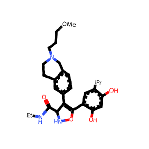 CCNC(=O)C1NOC(c2cc(C(C)C)c(O)cc2O)=C1c1ccc2c(c1)CCN(CCCOC)C2